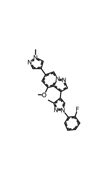 COc1cc(-c2cnn(C)c2)cn2ncc(-c3cn(-c4ccccc4F)nc3C)c12